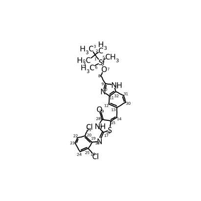 CC(C)(C)[Si](C)(C)OCc1nc2cc(C=C3SC(=Nc4c(Cl)cccc4Cl)NC3=O)ccc2[nH]1